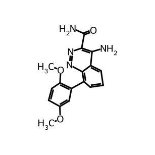 COc1ccc(OC)c(-c2cccc3c(N)c(C(N)=O)nnc23)c1